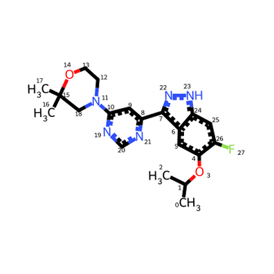 CC(C)Oc1cc2c(-c3cc(N4CCOC(C)(C)C4)ncn3)n[nH]c2cc1F